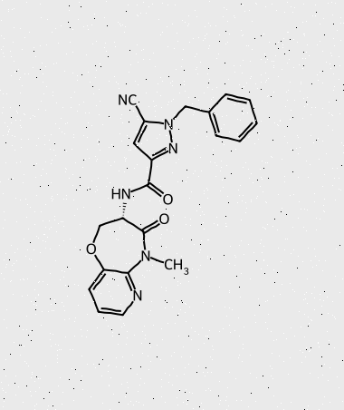 CN1C(=O)[C@@H](NC(=O)c2cc(C#N)n(Cc3ccccc3)n2)COc2cccnc21